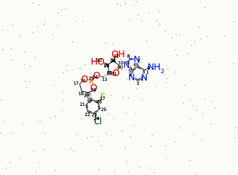 Nc1ncnc2c1ncn2[C@@H]1O[C@H](COP2OCC[C@@H](c3ccc(Cl)cc3F)O2)[C@@H](O)[C@H]1O